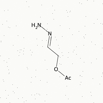 CC(=O)OCC=NN